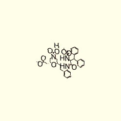 COC(=O)C[C@@H]1CN(C(=O)O)C[C@@H](CCc2ccccc2NC(=O)[C@@H](NC(=O)OC)C(c2ccccc2)c2ccccc2)O1